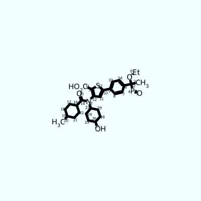 CCOC(C)(P=O)c1ccc(-c2cc(N(C(=O)C3CCC(C)CC3)C3CCC(O)CC3)c(C(=O)O)s2)cc1